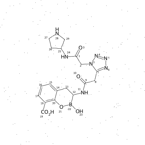 O=C(Cn1nnnc1CC(=O)NC1Cc2cccc(C(=O)O)c2OB1O)NC1CCNC1